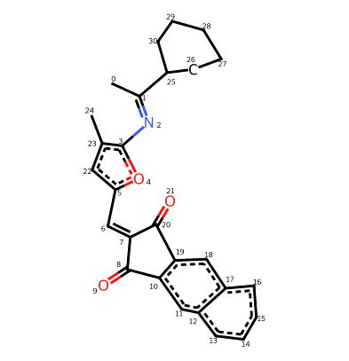 C/C(=N\c1oc(C=C2C(=O)c3cc4ccccc4cc3C2=O)cc1C)C1CCCCC1